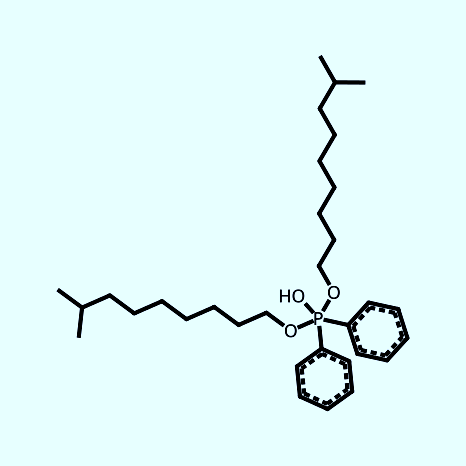 CC(C)CCCCCCCOP(O)(OCCCCCCCC(C)C)(c1ccccc1)c1ccccc1